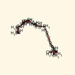 Cc1sc2c(c1C)C(c1ccc(Cl)cc1)=N[C@@H](CC(=O)Nc1ccc(OCCOCCOCCOCCOCCOCCNCCCN(C)CCCNC(=O)CCNC(=O)c3nc(NC(=O)CCNC(=O)c4cc(NC(=O)c5nc(NC(=O)CCNC(=O)c6cc(NC(=O)c7nccn7C)cn6C)cn5C)cn4C)cn3C)cc1)c1nnc(C)n1-2